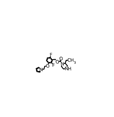 CCC1CNCCN1C(=O)OCc1c(F)ccc(OCCn2cccc2)c1F